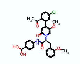 COc1ccccc1CC(C(=O)Nc1ccc(C(O)O)cc1)n1cc(OC)c(-c2cc(Cl)ccc2C(C)=O)cc1=O